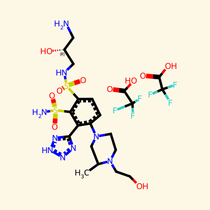 CC1CN(c2ccc(S(=O)(=O)NC[C@H](O)CN)c(S(N)(=O)=O)c2-c2nn[nH]n2)CCN1CCO.O=C(O)C(F)(F)F.O=C(O)C(F)(F)F